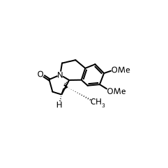 COc1cc2c(cc1OC)[C@@]13C[C@H](C)C[C@@H]1CC(=O)N3CC2